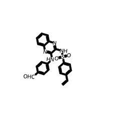 C=Cc1ccc(S(=O)(=O)Nc2nc3ccccc3nc2Nc2ccc(C=O)cc2)cc1